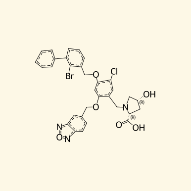 O=C(O)[C@H]1C[C@@H](O)CN1Cc1cc(Cl)c(OCc2cccc(-c3ccccc3)c2Br)cc1OCc1ccc2nonc2c1